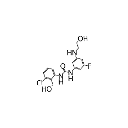 O=C(Nc1cc(F)cc(NCCO)c1)Nc1cccc(Cl)c1CO